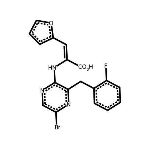 O=C(O)/C(=C/c1ccco1)Nc1ncc(Br)nc1Cc1ccccc1F